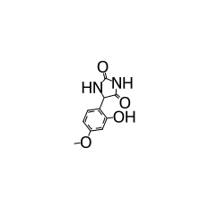 COc1ccc(C2NC(=O)NC2=O)c(O)c1